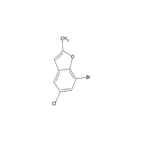 Cc1cc2cc(Cl)cc(Br)c2o1